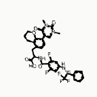 Cn1cc(-c2ccc(CC(NC(=O)c3c(F)cc(N[C@H](c4ccccc4)C(F)(F)F)cc3F)C(=O)O)c3c2OCCC3)c(=O)n(C)c1=O